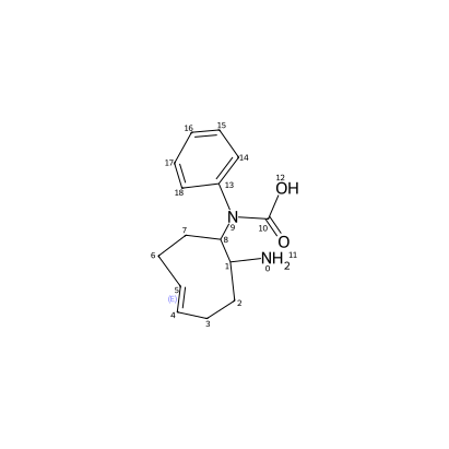 NC1CC/C=C/CCC1N(C(=O)O)c1ccccc1